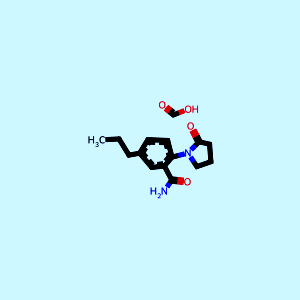 CCCc1ccc(N2CCCC2=O)c(C(N)=O)c1.O=CO